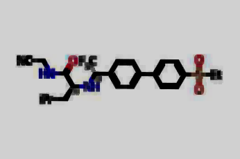 CCS(=O)(=O)c1ccc(-c2ccc([C@H](N[C@@H](CC(C)C)C(=O)NCC#N)C(F)(F)F)cc2)cc1